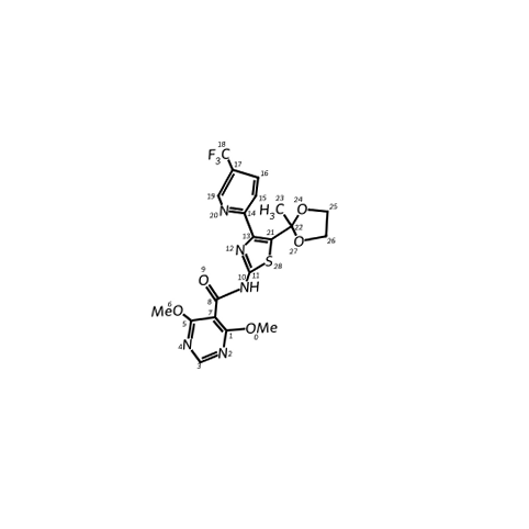 COc1ncnc(OC)c1C(=O)Nc1nc(-c2ccc(C(F)(F)F)cn2)c(C2(C)OCCO2)s1